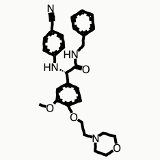 COc1cc([C@H](Nc2ccc(C#N)cc2)C(=O)NCc2ccccc2)ccc1OCCN1CCOCC1